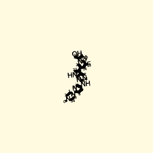 CN1CCN(c2ccc(Nc3ncc4c(-c5cc(F)c6ncc(CO)n6c5)c[nH]c4n3)cn2)CC1